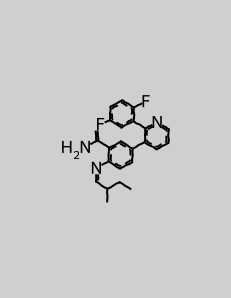 C=C(N)c1cc(-c2cccnc2-c2cc(F)ccc2F)ccc1/N=C\C(C)CC